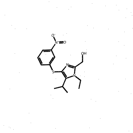 CCn1c(CO)nc(Sc2cccc([N+](=O)[O-])c2)c1C(C)C